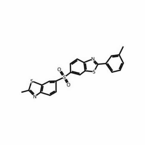 Cc1cccc(-c2nc3ccc(S(=O)(=O)c4ccc5nc(C)sc5c4)cc3s2)c1